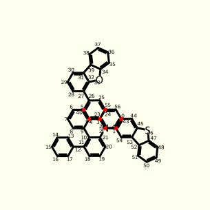 c1ccc(-c2ccccc2-c2c(-c3ccccc3)cccc2N(c2ccc(-c3cccc4c3oc3ccccc34)cc2)c2ccc3sc4ccccc4c3c2)cc1